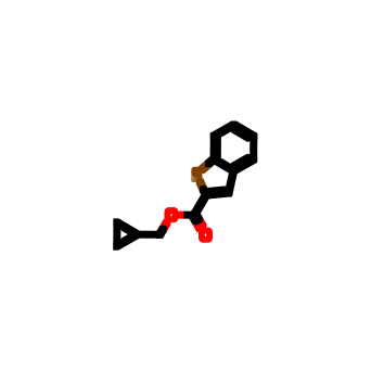 O=C(OCC1CC1)c1cc2ccccc2s1